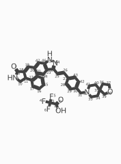 O=C(O)C(F)(F)F.O=C1NCC(c2ccccc2)/C1=C\c1ccc2c(/C=C/c3ccc(CN4CCC5(CCOC5)CC4)cc3)n[nH]c2c1